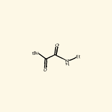 CCNC(=O)C(=O)C(C)(C)C